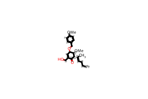 COc1ccc(CO[C@@H]2C=C(CO)C(=O)[C@@H](/C(C)=C/CCC(C)C)[C@@H]2OC)cc1